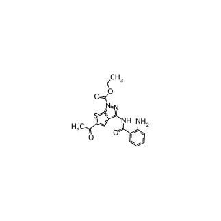 CCOC(=O)n1nc(NC(=O)c2ccccc2N)c2cc(C(C)=O)sc21